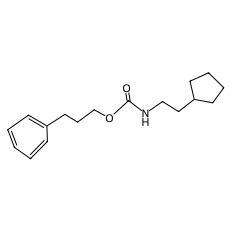 O=C(NCCC1CCCC1)OCCCc1ccccc1